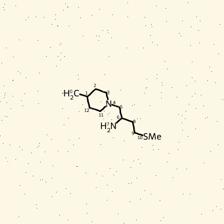 [CH2]C1CCN(CC(N)CCSC)CC1